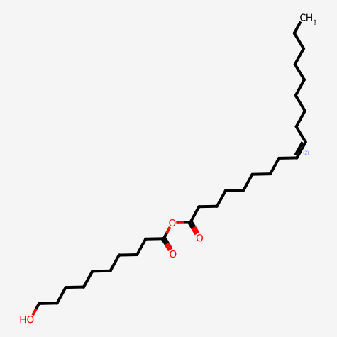 CCCCCCCC/C=C\CCCCCCCC(=O)OC(=O)CCCCCCCCCO